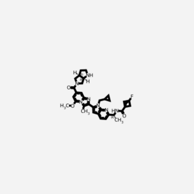 COc1cc(C(=O)N2C[C@H]3CCN[C@H]3C2)cc2nc(-c3cc4ccc([C@@H](C)NC(=O)C56CC(F)(C5)C6)nc4n3CC3CC3)c(C)n12